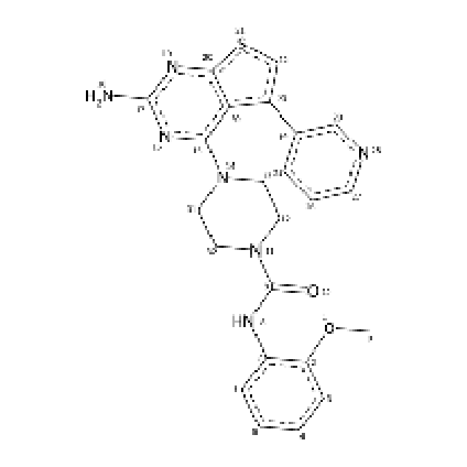 COc1ccccc1NC(=O)N1CCN(c2nc(N)nc3scc(-c4cccnc4)c23)CC1